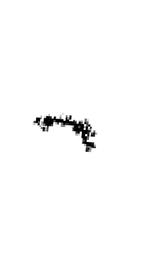 C=C(C)Oc1ccc(CCC(=O)CC(=O)CCc2ccc(C(CCCC3CCSS3)C(=O)O)c(OC)c2)cc1OC